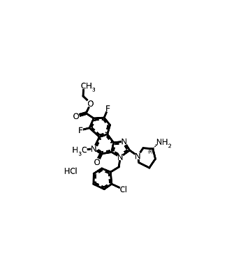 CCOC(=O)c1c(F)cc2c3nc(N4CCC[C@@H](N)C4)n(Cc4ccccc4Cl)c3c(=O)n(C)c2c1F.Cl